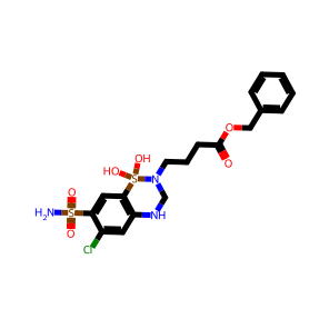 NS(=O)(=O)c1cc2c(cc1Cl)NCN(CCCC(=O)OCc1ccccc1)S2(O)O